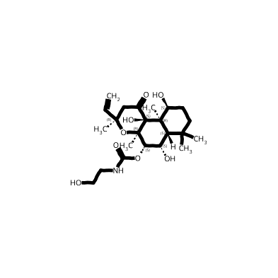 C=C[C@@]1(C)CC(=O)[C@]2(O)[C@@]3(C)[C@@H](O)CCC(C)(C)[C@@H]3[C@H](O)[C@H](OC(=O)NCCO)[C@@]2(C)O1